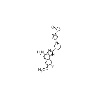 COc1cc2nc(N)n3nc([C@@H]4CCCN(c5cnn(C6CCC6=O)c5)C4)nc3c2cc1F